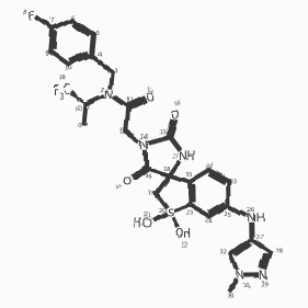 C[C@H](N(Cc1ccc(F)cc1)C(=O)CN1C(=O)NC2(CS(O)(O)c3cc(Nc4cnn(C)c4)ccc32)C1=O)C(F)(F)F